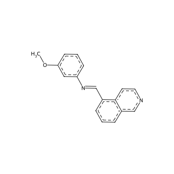 COc1cccc(N=Cc2cccc3cnccc23)c1